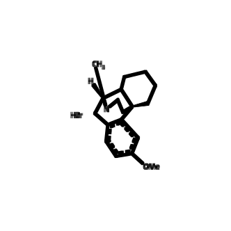 Br.COc1ccc2c(c1)[C@@]13CCCCC1[C@@H](C2)N(C)CC3